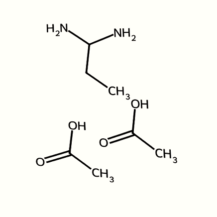 CC(=O)O.CC(=O)O.CCC(N)N